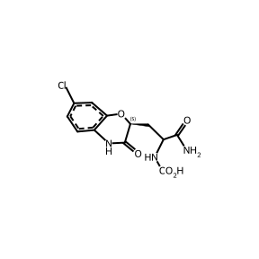 NC(=O)C(C[C@@H]1Oc2cc(Cl)ccc2NC1=O)NC(=O)O